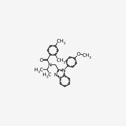 COc1ccc(-n2c(CN(C(=O)c3ccc(C)cc3C)C(C)C)nc3ccccc32)cc1